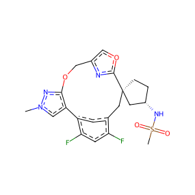 Cn1cc2c(n1)OCc1coc(n1)[C@]1(CC[C@H](NS(C)(=O)=O)C1)Cc1cc-2c(F)cc1F